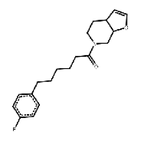 O=C(CCCCCc1ccc(F)cc1)N1CCC2C=COC2C1